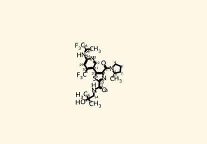 C[C@H]1CCCN1C(=O)c1nc(C(=O)NCC(C)(C)O)sc1-c1cnc(N[C@H](C)C(F)(F)F)cc1C(F)(F)F